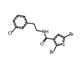 O=C(NCCc1cccc(Cl)c1)c1cc(Br)sc1Br